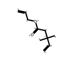 C=CCOC(=O)CC(C)(C)C=C